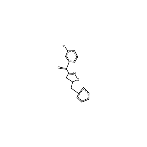 O=C(C1=NOC(Cc2ccccc2)C1)c1cccc(Br)c1